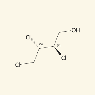 OC[C@@H](Cl)[C@@H](Cl)CCl